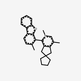 Cc1c[n+](C)c(-c2c(C)ccc3c2oc2ccccc23)c2c1CC1(CCCC1)C2